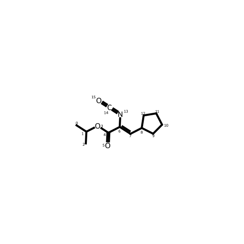 CC(C)OC(=O)C(=CC1CCCC1)N=C=O